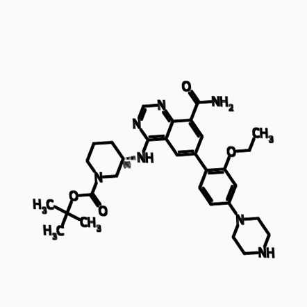 CCOc1cc(N2CCNCC2)ccc1-c1cc(C(N)=O)c2ncnc(N[C@H]3CCCN(C(=O)OC(C)(C)C)C3)c2c1